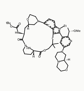 CCn1c(-c2cc(N3CCN4CCOC[C@@H]4C3)cnc2[C@H](C)OC)c2c3cc(ccc31)N1CCO[C@@H](C[C@H](NC(=O)OC(C)(C)C)C(=O)N3CCC[C@H](N3)C(=O)OCC(C)(C)C2)C1